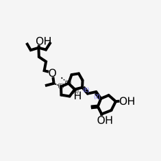 C=C1/C(=C\C=C2/CCC[C@]3(C)[C@@H](C(C)OCCCC(O)(CC)CC)CC[C@@H]23)CC(O)CC1O